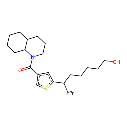 CCCC(CCCCCO)c1cc(C(=O)N2CCCC3CCCCC32)cs1